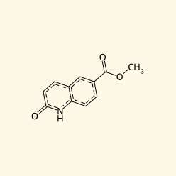 COC(=O)c1ccc2[nH]c(=O)ccc2c1